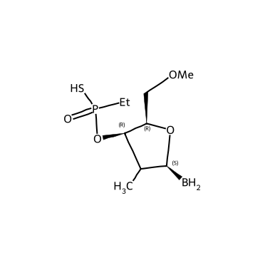 B[C@@H]1O[C@H](COC)[C@H](OP(=O)(S)CC)C1C